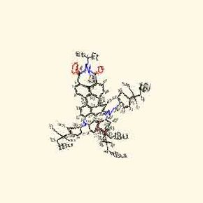 CCC(CC)N1C(=O)c2ccc3c4ccc(N(c5ccc(C(C)(C)CC(C)(C)C)cc5)c5ccc(C(C)(C)CC(C)(C)C)cc5)c5cc(N(c6ccc(C(C)(C)CC(C)(C)C)cc6)c6ccc(C(C)(C)CC(C)(C)C)cc6)cc(c6ccc(c2c36)C1=O)c54